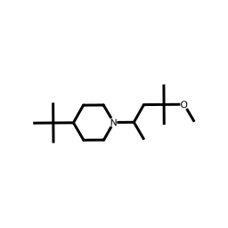 COC(C)(C)CC(C)N1CCC(C(C)(C)C)CC1